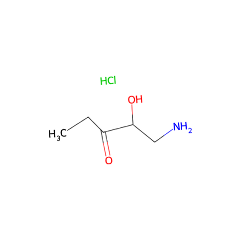 CCC(=O)C(O)CN.Cl